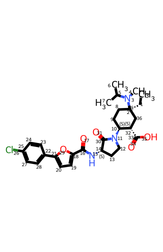 CC[C@@]1(N(C)C(C)C)CC[C@H](N2CC[C@H](NC(=O)c3ccc(-c4ccc(Cl)cc4)o3)C2=O)[C@@H](C(=O)O)C1